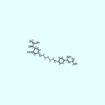 CCCC(=O)/N=C(\N)c1ccc(OCCCCCOc2ccc(C(=O)N(C(C)C)C(C)C)c(O)c2)cc1